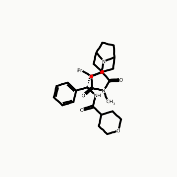 CC(C)N1C(=O)N(C)C(=O)C12CC1CCC(C2)N1CC[C@H](NC(=O)C1CCOCC1)c1ccccc1